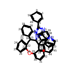 c1ccc(-c2nc(-c3ccccn3)n(C3C(c4ccccc4)c4ccccc4Oc4ccccc4C3(c3ccccc3)c3ccccc3)n2)cc1